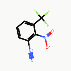 N#[N+]c1cccc(C(F)(F)F)c1[N+](=O)[O-]